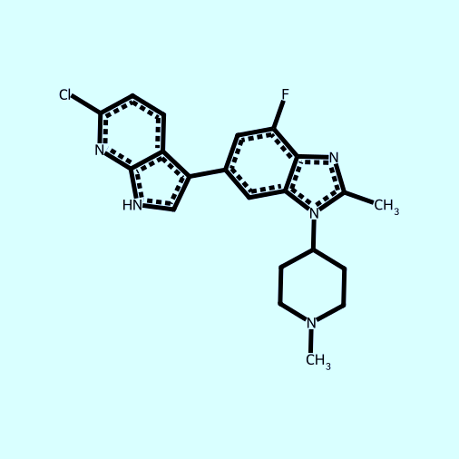 Cc1nc2c(F)cc(-c3c[nH]c4nc(Cl)ccc34)cc2n1C1CCN(C)CC1